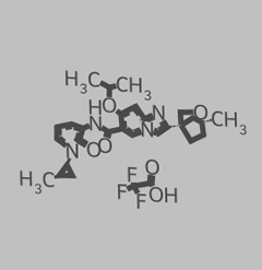 CC(C)Oc1cc2nc([C@@]34CC[C@@](C)(C3)OC4)cn2cc1C(=O)Nc1cccn([C@H]2C[C@H]2C)c1=O.O=C(O)C(F)(F)F